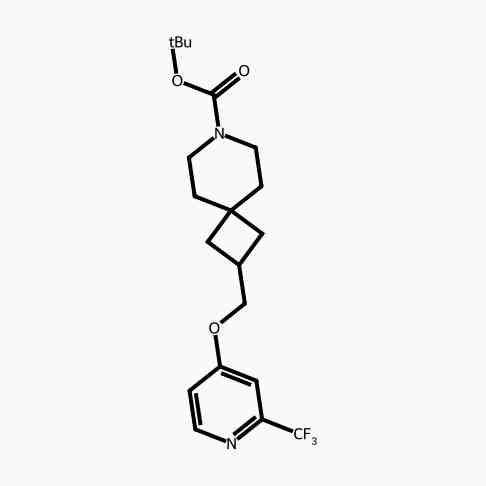 CC(C)(C)OC(=O)N1CCC2(CC1)CC(COc1ccnc(C(F)(F)F)c1)C2